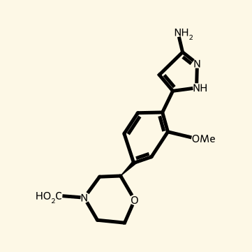 COc1cc([C@@H]2CN(C(=O)O)CCO2)ccc1-c1cc(N)n[nH]1